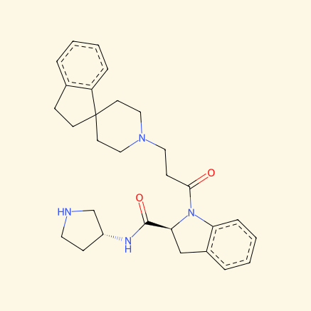 O=C(N[C@@H]1CCNC1)[C@@H]1Cc2ccccc2N1C(=O)CCN1CCC2(CCc3ccccc32)CC1